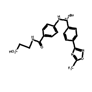 CCCC[C@@H](Nc1ccc(C(=O)NCCC(=O)O)cc1)c1ccc(-c2noc(C(F)(F)F)n2)cc1